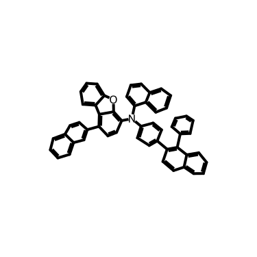 c1ccc(-c2c(-c3ccc(N(c4cccc5ccccc45)c4ccc(-c5ccc6ccccc6c5)c5c4oc4ccccc45)cc3)ccc3ccccc23)cc1